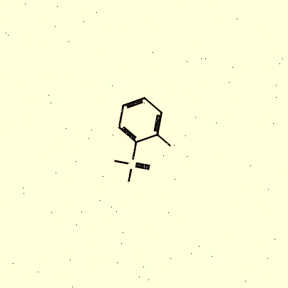 CCP(=O)(O)c1ccccc1C